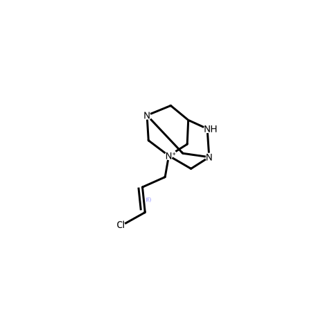 Cl/C=C/C[N+]12CC3CN(CN(C1)N3)C2